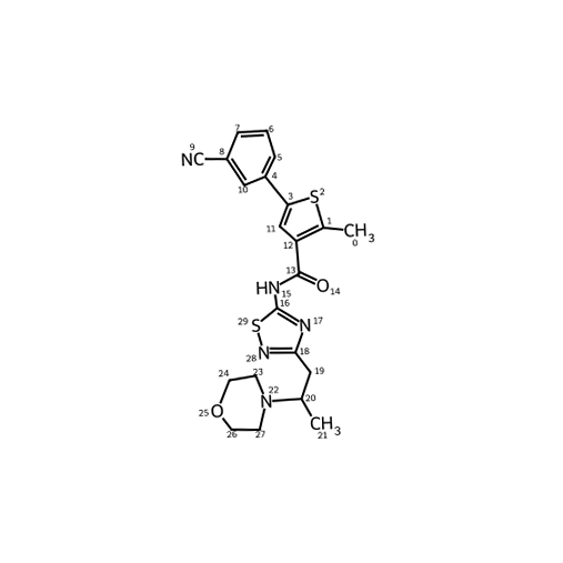 Cc1sc(-c2cccc(C#N)c2)cc1C(=O)Nc1nc(CC(C)N2CCOCC2)ns1